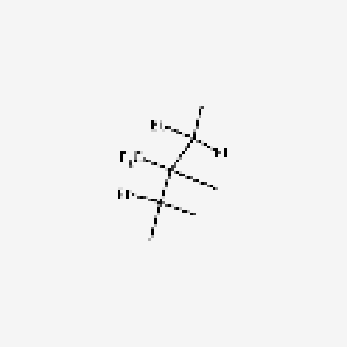 CCC(C)(C)C(C)(C(F)(F)F)C(C)(CC)CC